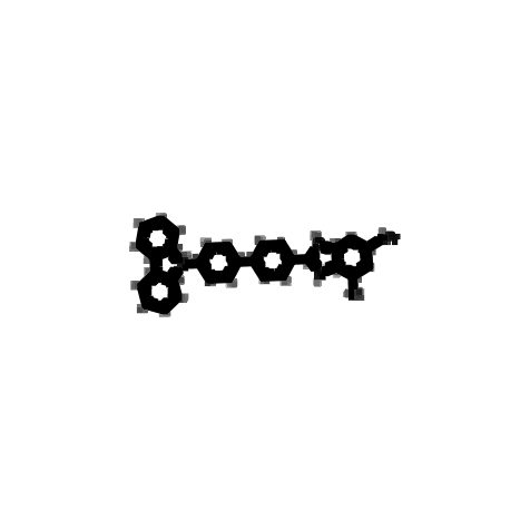 CCCc1cc(CC)c2nc(-c3ccc(-c4ccc(-n5c6ccccc6c6ccccc65)cc4)cc3)oc2c1